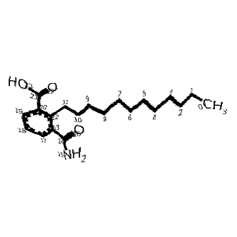 CCCCCCCCCCCCc1c(C(N)=O)cccc1C(=O)O